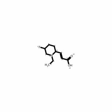 CCN1CC(F)CCC1/C=C/C(=O)O